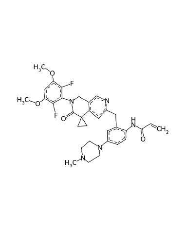 C=CC(=O)Nc1ccc(N2CCN(C)CC2)cc1Cc1cc2c(cn1)CN(c1c(F)c(OC)cc(OC)c1F)C(=O)C21CC1